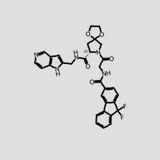 O=C(NCC(=O)N1CC2(C[C@H]1C(=O)NCc1cc3cnccc3[nH]1)OCCO2)c1ccc2c(c1)-c1ccccc1C2(F)F